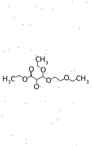 CCOCCOC(OCC)C([O])C(=O)OCC